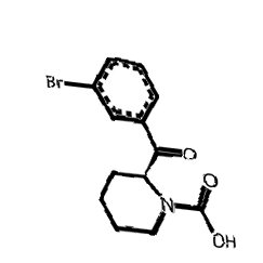 O=C(c1cccc(Br)c1)[C@@H]1CCCCN1C(=O)O